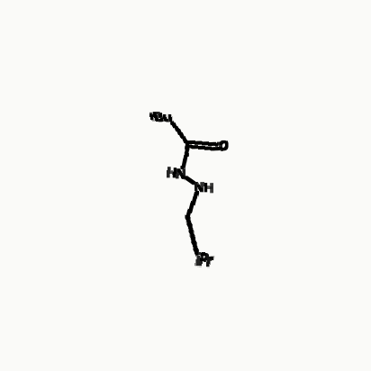 CC(C)CNNC(=O)C(C)(C)C